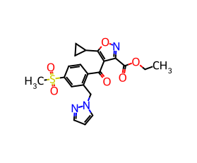 CCOC(=O)c1noc(C2CC2)c1C(=O)c1ccc(S(C)(=O)=O)cc1Cn1cccn1